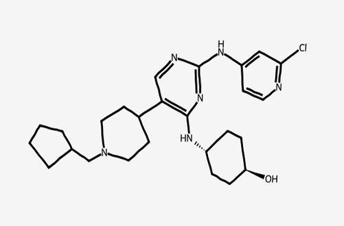 O[C@H]1CC[C@H](Nc2nc(Nc3ccnc(Cl)c3)ncc2C2CCN(CC3CCCC3)CC2)CC1